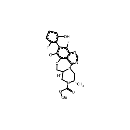 C[C@H]1CN2c3ncnc4c(F)c(-c5c(O)cccc5F)c(Cl)c(c34)OC[C@@H]2CN1C(=O)OC(C)(C)C